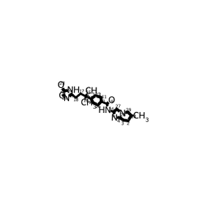 Cc1ccc2nc(NC(=O)c3ccc(C(C)(C)CCc4noc(=O)[nH]4)cc3)cn2c1